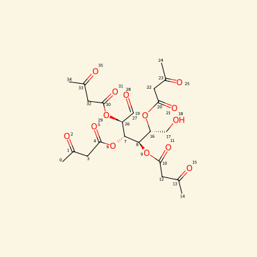 CC(=O)CC(=O)O[C@@H]([C@H](OC(=O)CC(C)=O)[C@@H](CO)OC(=O)CC(C)=O)[C@H](C=O)OC(=O)CC(C)=O